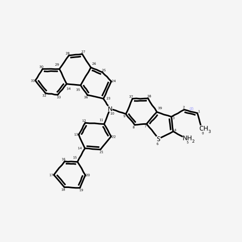 C/C=C\c1c(N)sc2cc(N(c3ccc(-c4ccccc4)cc3)c3ccc4ccc5ccccc5c4c3)ccc12